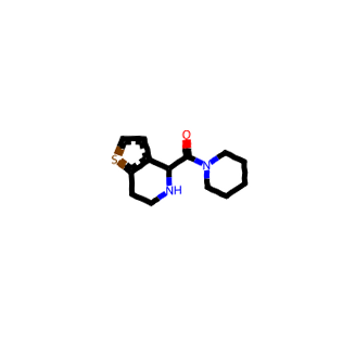 O=C(C1NCCc2sccc21)N1CCCCC1